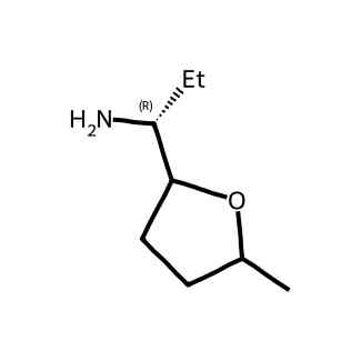 CC[C@@H](N)C1CCC(C)O1